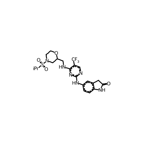 CC(C)S(=O)(=O)N1CCOC(CNc2nc(Nc3ccc4c(c3)CC(=O)N4)ncc2C(F)(F)F)C1